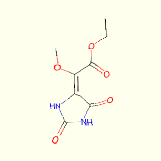 CCOC(=O)/C(OC)=C1/NC(=O)NC1=O